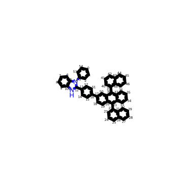 c1ccc(N2c3ccccc3NC2c2ccc(-c3ccc4c(-c5cccc6ccccc56)c5ccccc5c(-c5cccc6ccccc56)c4c3)cc2)cc1